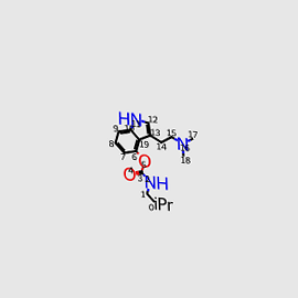 CC(C)CNC(=O)Oc1cccc2[nH]cc(CCN(C)C)c12